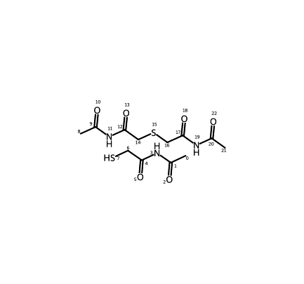 CC(=O)NC(=O)CS.CC(=O)NC(=O)CSCC(=O)NC(C)=O